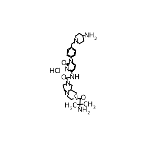 CC(C)(N)C(=O)N1CCN2CCN(C(=O)Nc3ccn(-c4ccc(CN5CCC(N)CC5)cc4)c(=O)n3)CC2C1.Cl